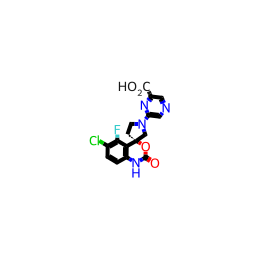 O=C1Nc2ccc(Cl)c(F)c2[C@]2(CCN(c3cncc(C(=O)O)n3)C2)O1